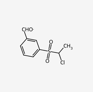 CC(Cl)S(=O)(=O)c1cccc([C]=O)c1